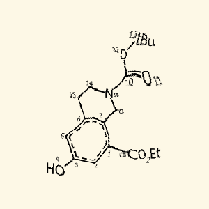 CCOC(=O)c1cc(O)cc2c1CN(C(=O)OC(C)(C)C)CC2